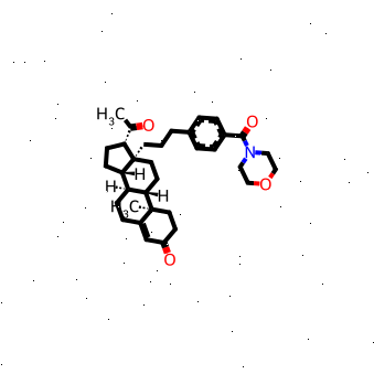 CC(=O)[C@H]1CC[C@H]2[C@@H]3CCC4=CC(=O)CC[C@]4(C)[C@H]3CC[C@]12CCCc1ccc(C(=O)N2CCOCC2)cc1